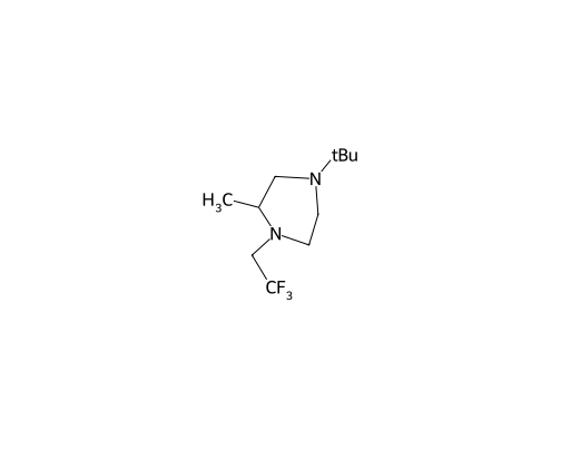 CC1CN(C(C)(C)C)CCN1CC(F)(F)F